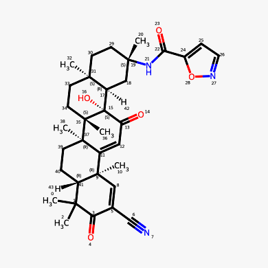 CC1(C)C(=O)C(C#N)=C[C@]2(C)C3=CC(=O)[C@]4(O)[C@@H]5C[C@@](C)(NC(=O)c6ccno6)CC[C@]5(C)CC[C@@]4(C)[C@]3(C)CC[C@@H]12